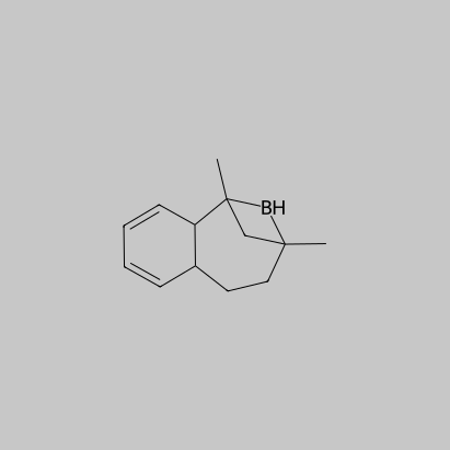 CC12BC(C)(C1)C1C=CC=CC1CC2